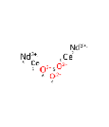 [Ce].[Ce].[Nd+3].[Nd+3].[O-2].[O-2].[O-2]